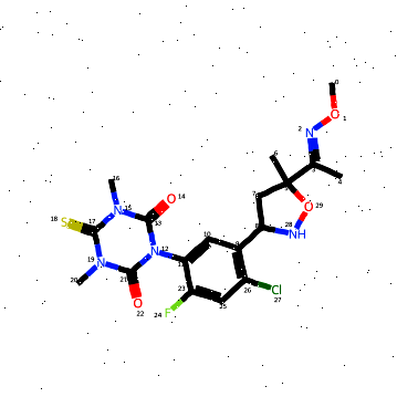 CO/N=C(\C)C1(C)CC(c2cc(-n3c(=O)n(C)c(=S)n(C)c3=O)c(F)cc2Cl)NO1